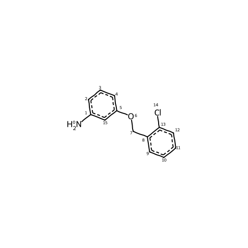 Nc1cccc(OCc2ccccc2Cl)c1